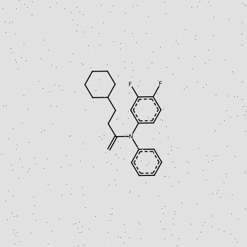 C=C(CCC1CCCCC1)N(c1ccccc1)c1ccc(F)c(F)c1